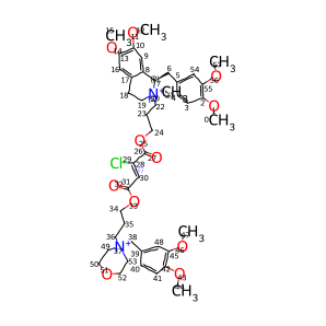 COc1ccc(C[C@@H]2c3cc(OC)c(OC)cc3CC[N@@+]2(C)CCCOC(=O)/C(Cl)=C/C(=O)OCCC[N+]2(Cc3ccc(OC)c(OC)c3)CCOCC2)cc1OC